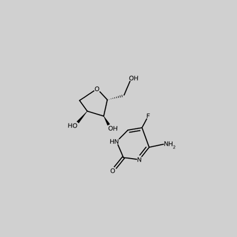 Nc1nc(=O)[nH]cc1F.OC[C@H]1OC[C@H](O)[C@@H]1O